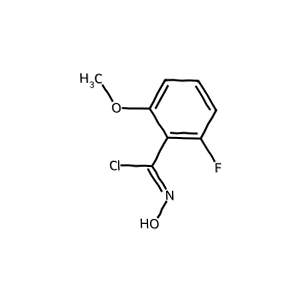 COc1cccc(F)c1/C(Cl)=N/O